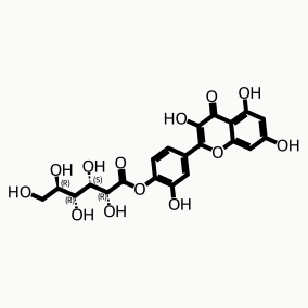 O=C(Oc1ccc(-c2oc3cc(O)cc(O)c3c(=O)c2O)cc1O)[C@H](O)[C@@H](O)[C@H](O)[C@H](O)CO